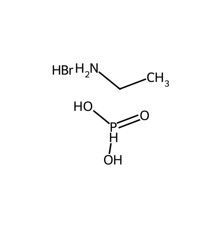 Br.CCN.O=[PH](O)O